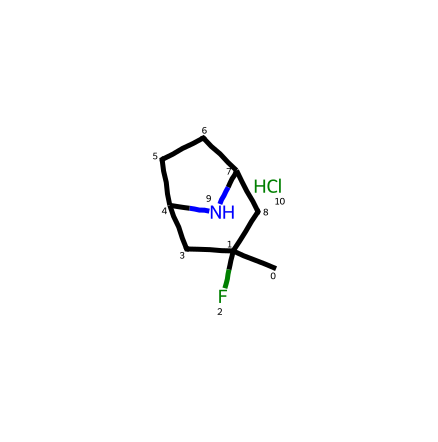 CC1(F)CC2CCC(C1)N2.Cl